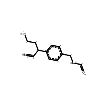 N=CC(CCN)c1ccc(CNC=O)cc1